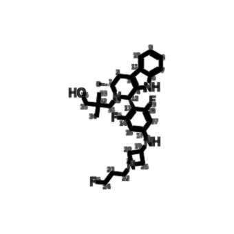 C[C@@H]1Cc2c([nH]c3ccccc23)[C@@H](c2c(F)cc(NC3CN(CCCF)C3)cc2F)N1CC(C)(C)CO